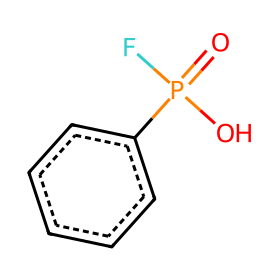 O=P(O)(F)c1ccccc1